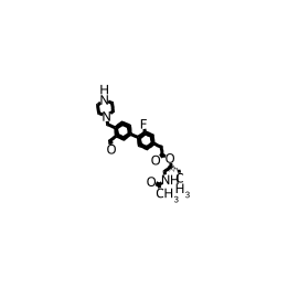 CC[C@H](CNC(C)=O)OC(=O)Cc1ccc(-c2ccc(CN3CCNCC3)c(C=O)c2)c(F)c1